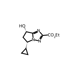 CCOC(=O)c1nc2n(n1)[C@H](C1CC1)C[C@@H]2O